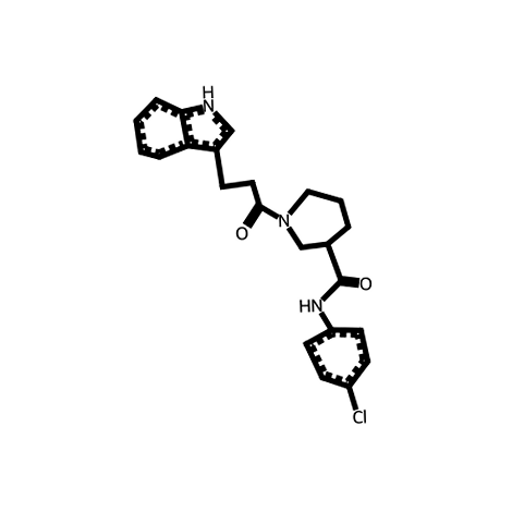 O=C(Nc1ccc(Cl)cc1)C1CCCN(C(=O)CCc2c[nH]c3ccccc23)C1